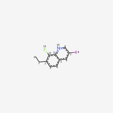 CCc1ccc2cc(I)cnc2c1F